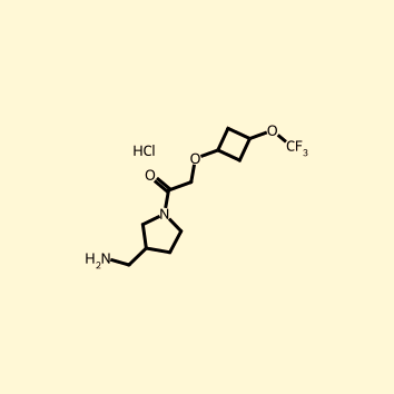 Cl.NCC1CCN(C(=O)COC2CC(OC(F)(F)F)C2)C1